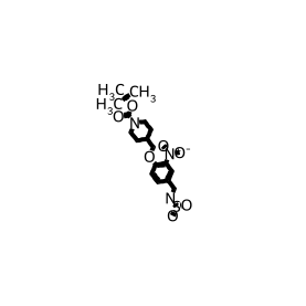 CC(C)(C)OC(=O)N1CCC(COc2ccc(CN=S(=O)=O)cc2[N+](=O)[O-])CC1